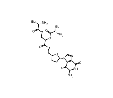 CC[C@H](C)[C@H](N)C(=O)OC[C@@H](OC(=O)[C@@H](N)[C@@H](C)CC)C(=O)OC[C@@H]1CC[C@H](n2cnc3c2N(F)C(N)NC3=O)O1